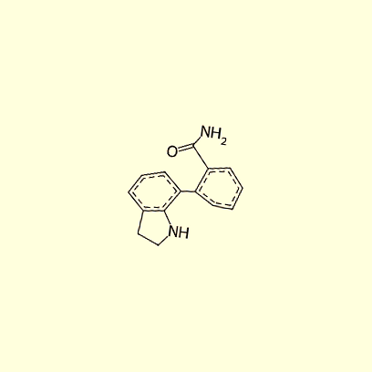 NC(=O)c1ccccc1-c1cccc2c1NCC2